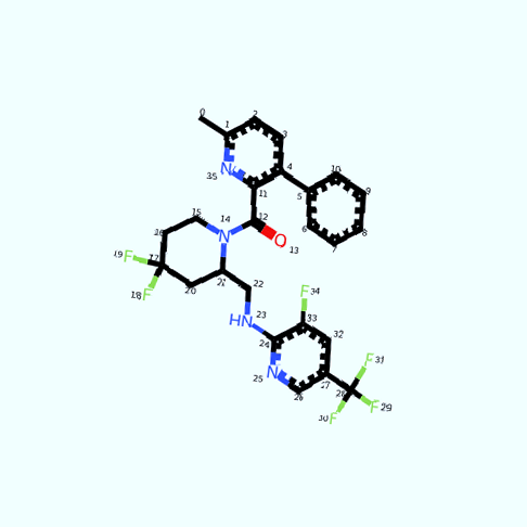 Cc1ccc(-c2ccccc2)c(C(=O)N2CCC(F)(F)CC2CNc2ncc(C(F)(F)F)cc2F)n1